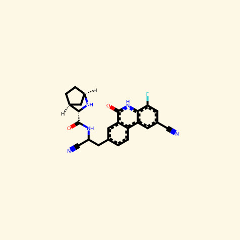 N#Cc1cc(F)c2[nH]c(=O)c3cc(CC(C#N)NC(=O)[C@H]4N[C@@H]5CC[C@H]4C5)ccc3c2c1